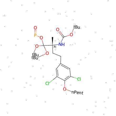 CCCCCOc1c(Cl)cc(CC[C@@](C)(NC(=O)OC(C)(C)C)C(OP=O)(OC(C)(C)C)OC(C)(C)C)cc1Cl